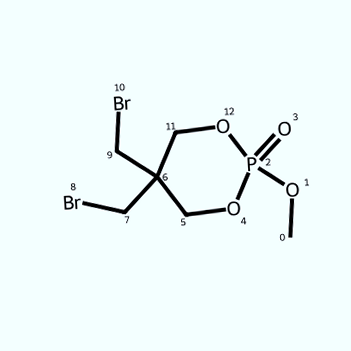 COP1(=O)OCC(CBr)(CBr)CO1